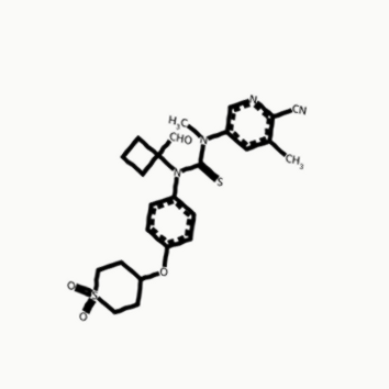 Cc1cc(N(C)C(=S)N(c2ccc(OC3CCS(=O)(=O)CC3)cc2)C2(C=O)CCC2)cnc1C#N